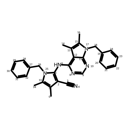 Cc1c(C#N)c(Nc2ncnc3c2c(C)c(C)n3Cc2ccccc2)n(Cc2ccccc2)c1C